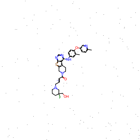 Cc1ccc(Oc2ccc(Nc3ncnc4sc5c(c34)CCN(C(=O)/C=C/CN3CCCC(F)(CO)C3)C5)cc2C)cn1